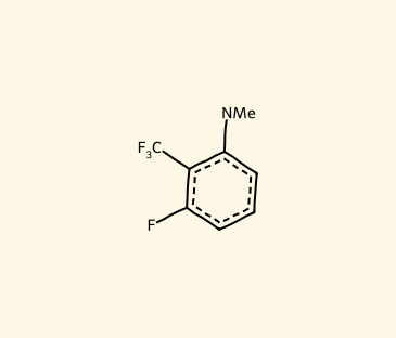 CNc1cccc(F)c1C(F)(F)F